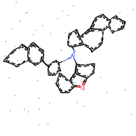 c1cc(-c2ccc3ccccc3c2)cc(N(c2cccc3c2ccc2c4ccccc4ccc32)c2cccc3oc4ccccc4c23)c1